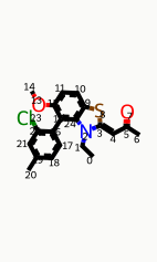 CCN1/C(=C/C(C)=O)Sc2ccc(OC)c(-c3ccc(C)cc3Cl)c21